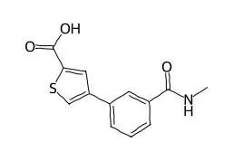 CNC(=O)c1cccc(-c2csc(C(=O)O)c2)c1